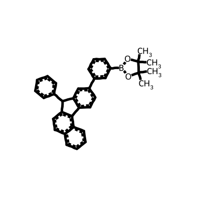 CC1(C)OB(c2cccc(-c3ccc4c(c3)C(c3ccccc3)c3ccc5ccccc5c3-4)c2)OC1(C)C